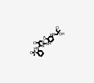 COc1cc(NCC(C)(O)CCl)ccc1Nc1ncc(Cl)c(Nc2ccccc2P(C)(C)=O)n1